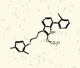 Cc1ccc(OCCCc2c(OC(=O)O)[nH]c3c(-c4ccccc4C)cccc23)c(C)c1